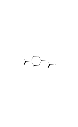 NC(=O)OC1CCC(C(N)=O)CC1